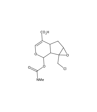 CNC(=O)OC1OC=C(C(=O)O)C2CC3OC3(CCl)C12